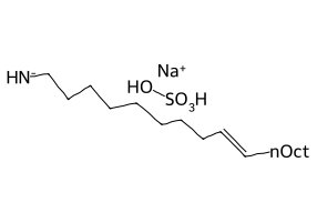 CCCCCCCCC=CCCCCCCCC[NH-].O=S(=O)(O)O.[Na+]